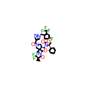 O=C(c1cnn(Cc2ccc(F)cc2C(F)(F)F)c1)N1C[C@@H](C(=O)N2C(=O)OC[C@H]2c2ccccc2)C2(C1)CN(C(=O)C1(C(F)(F)F)CC1)C2